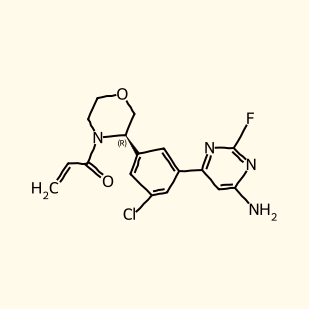 C=CC(=O)N1CCOC[C@H]1c1cc(Cl)cc(-c2cc(N)nc(F)n2)c1